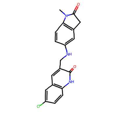 CN1C(=O)Cc2cc(NCc3cc4cc(Cl)ccc4[nH]c3=O)ccc21